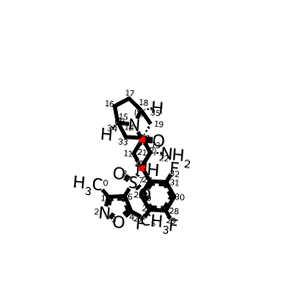 Cc1noc(C)c1S(=O)(=O)NCC(=O)N1[C@@H]2CC[C@H]1C[C@H]([C@H](N)Cc1cc(F)c(F)cc1F)C2